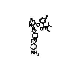 CCN(C(=O)c1cc(F)ccc1Oc1cncnc1N1CC2(CCN(C[C@]3(F)CC[C@H](N)CC3)CC2)C1)C(C)C